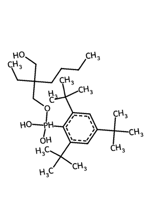 CCCCC(CC)(CO)CO[PH](O)(O)c1c(C(C)(C)C)cc(C(C)(C)C)cc1C(C)(C)C